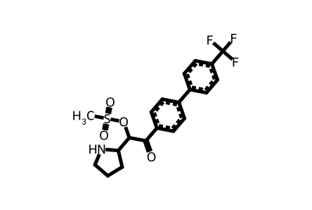 CS(=O)(=O)OC(C(=O)c1ccc(-c2ccc(C(F)(F)F)cc2)cc1)C1CCCN1